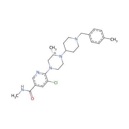 CNC(=O)c1cnc(N2CCN(C3CCN(Cc4ccc(C)cc4)CC3)[C@@H](C)C2)c(Cl)c1